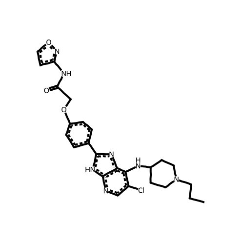 CCCN1CCC(Nc2c(Cl)cnc3[nH]c(-c4ccc(OCC(=O)Nc5ccon5)cc4)nc23)CC1